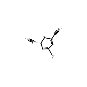 N#CC1=CC(N)=C[C@H](C#N)C1